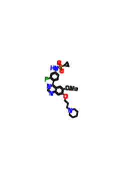 COc1cc2c(-c3ccc(NS(=O)(=O)C4CC4)cc3F)ncnc2cc1OCCCN1CCCCC1